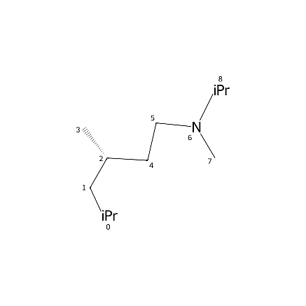 CC(C)C[C@H](C)CCN(C)C(C)C